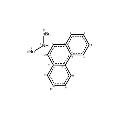 CCCCNCCCC.c1ccc2c(c1)ccc1cnccc12